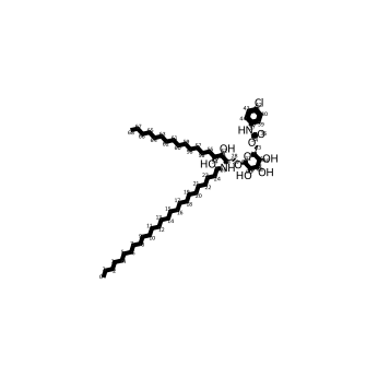 CCCCCCCCCCCCCCCCCCCCCCCCCCN[C@@H](CO[C@H]1O[C@H](COC(=O)Nc2ccc(Cl)cc2)[C@H](O)[C@H](O)[C@H]1O)[C@H](O)[C@H](O)CCCCCCCCCCCCCC